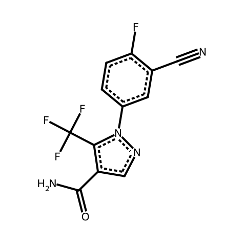 N#Cc1cc(-n2ncc(C(N)=O)c2C(F)(F)F)ccc1F